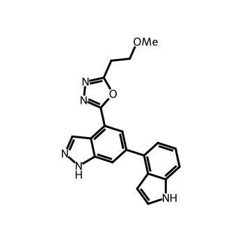 COCCc1nnc(-c2cc(-c3cccc4[nH]ccc34)cc3[nH]ncc23)o1